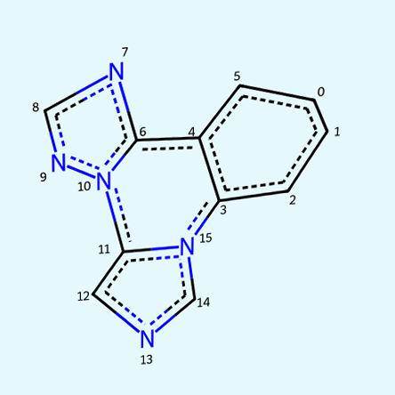 c1ccc2c(c1)c1ncnn1c1cncn21